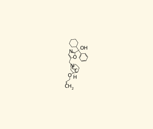 C=CCO[C@H]1C[N+]2(Cc3cnc([C@](O)(c4ccccc4)C4CCCCC4)o3)CCC1CC2